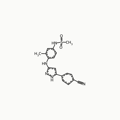 Cc1cc(NS(C)(=O)=O)ccc1Nc1cc(-c2ccc(C#N)cc2)[nH]n1